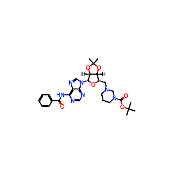 CC(C)(C)OC(=O)N1CCCN(C[C@H]2O[C@@H](n3cnc4c(NC(=O)c5ccccc5)ncnc43)[C@@H]3OC(C)(C)O[C@@H]32)C1